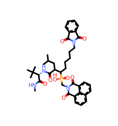 CNC(=O)[C@@H](NC(=O)C(CC(C)C)C(CCCCCN1C(=O)c2ccccc2C1=O)P(=O)(O)CN1C(=O)c2cccc3cccc(c23)C1=O)C(C)(C)C